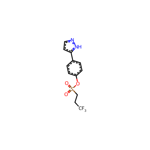 O=S(=O)(CCC(F)(F)F)Oc1ccc(-c2ccn[nH]2)cc1